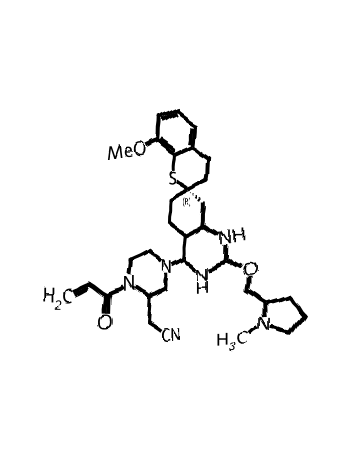 C=CC(=O)N1CCN(C2NC(OCC3CCCN3C)NC3C[C@]4(CCc5cccc(OC)c5S4)CCC32)CC1CC#N